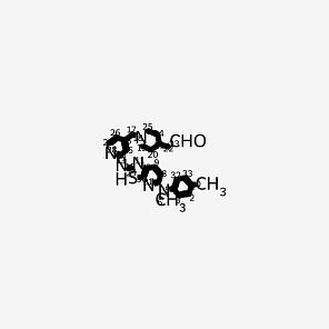 Cc1ccc(N(C)c2ccc3nc(Nc4cc(CN5CCC(CC=O)CC5)ccn4)sc3n2)cc1